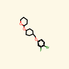 Fc1cc(OCC2CCC(OC3CCCCO3)CC2)ccc1Br